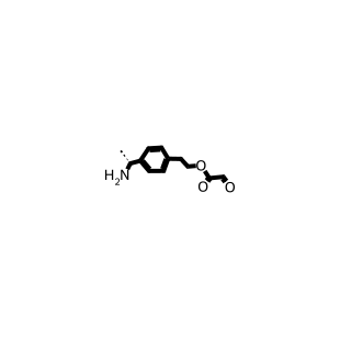 C[C@@H](N)c1ccc(CCOC(=O)C=O)cc1